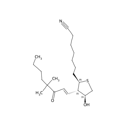 CCCCC(C)(C)C(=O)C=C[C@H]1[C@H](O)CS[C@@H]1CCCCCCC#N